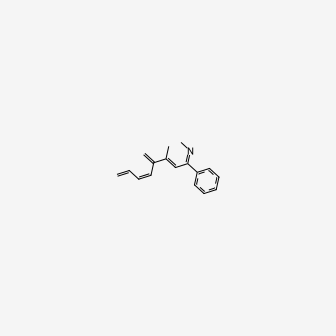 C=C/C=C\C(=C)/C(C)=C/C(=N\C)c1ccccc1